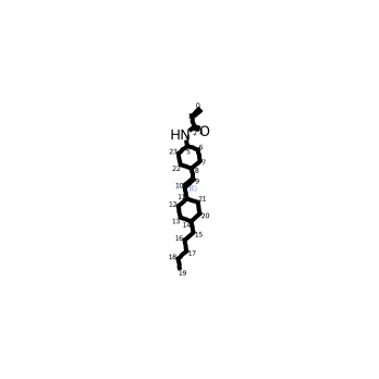 C=CC(=O)NC1CCC(/C=C/C2CCC(CCCCC)CC2)CC1